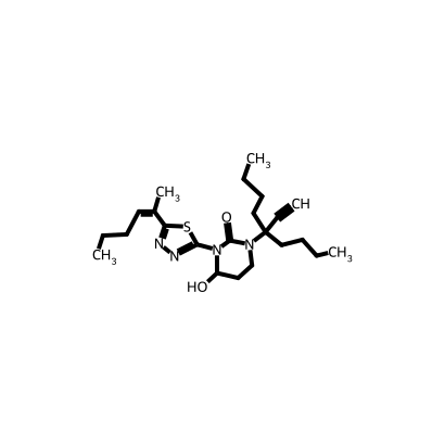 C#CC(CCCC)(CCCC)N1CCC(O)N(c2nnc(/C(C)=C\CCC)s2)C1=O